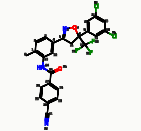 Cc1ccc(C2=NOC(c3cc(Cl)cc(Cl)c3)(C(F)(F)F)C2)cc1NC(=O)c1ccc(C#N)cc1